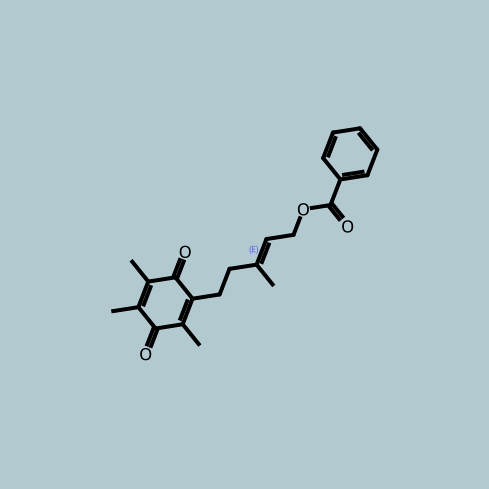 CC1=C(C)C(=O)C(CC/C(C)=C/COC(=O)c2ccccc2)=C(C)C1=O